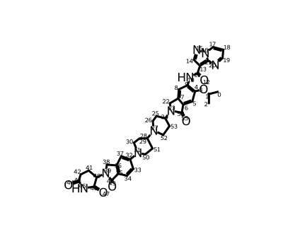 CC(C)Oc1cc2c(cc1NC(=O)c1cnn3cccnc13)CN(C1CCN(C3CCN(c4ccc5c(c4)CN(C4CCC(=O)NC4=O)C5=O)CC3)CC1)C2=O